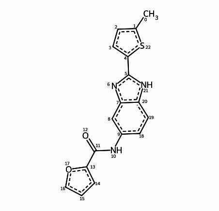 Cc1ccc(-c2nc3cc(NC(=O)c4ccco4)ccc3[nH]2)s1